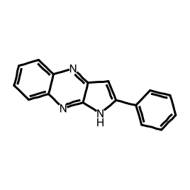 c1ccc(-c2cc3nc4ccccc4nc3[nH]2)cc1